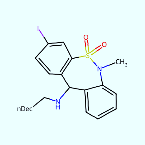 CCCCCCCCCCCNC1c2ccccc2N(C)S(=O)(=O)c2cc(I)ccc21